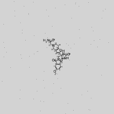 COc1ccc2c(c1)C(=O)N(C[C@@]1(c3cc4c(o3)CCN(CC(N)=O)C4)NC(=O)NC1=O)C2